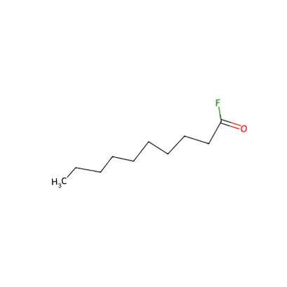 CCCCCCCCCC(=O)F